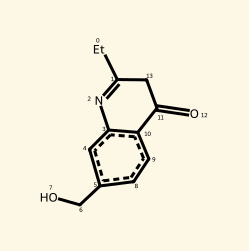 CCC1=Nc2cc(CO)ccc2C(=O)C1